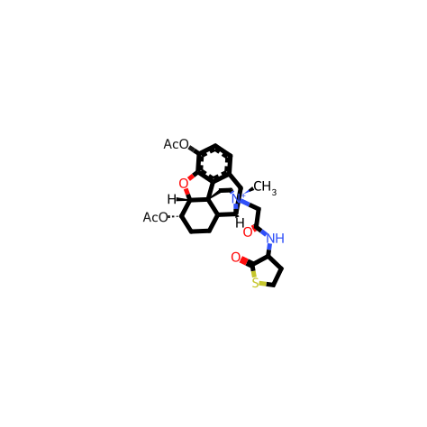 CC(=O)Oc1ccc2c3c1O[C@H]1[C@@H](OC(C)=O)CCC4[C@@H](C2)[N@@+](C)(CC(=O)NC2CCSC2=O)CC[C@@]341